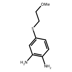 COCCSc1ccc(N)c(N)c1